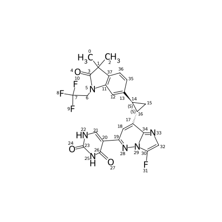 CC1(C)C(=O)N(CC(F)(F)F)c2cc([C@H]3C[C@@H]3c3cc(-c4c[nH]c(=O)[nH]c4=O)nn4c(F)cnc34)ccc21